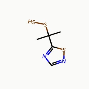 CC(C)(SS)c1ncns1